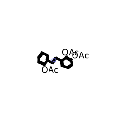 CC(=O)Oc1ccccc1/C=C/c1cccc(OC(C)=O)c1OC(C)=O